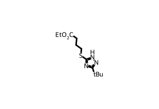 CCOC(=O)CCCSc1nc(C(C)(C)C)n[nH]1